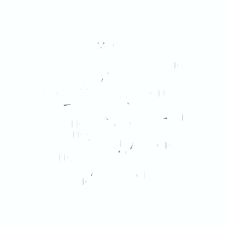 COc1cc(C=O)ccc1O[C@@H]1O[C@H](CO)[C@@H](O)[C@H](O[C@@H]2O[C@H](CO)[C@@H](O)[C@H](O)[C@H]2O)[C@H]1O[C@@H]1O[C@H](CO)[C@@H](O)[C@H](O)[C@H]1O